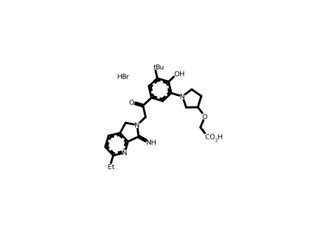 Br.CCc1ccc2c(n1)C(=N)N(CC(=O)c1cc(N3CCC(OCC(=O)O)C3)c(O)c(C(C)(C)C)c1)C2